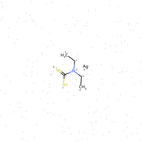 CCN(CC)C(=S)S.[Ag]